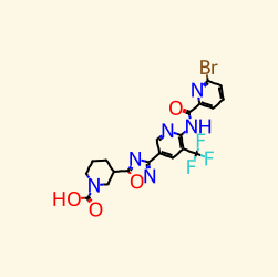 O=C(Nc1ncc(-c2noc(C3CCCN(C(=O)O)C3)n2)cc1C(F)(F)F)c1cccc(Br)n1